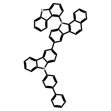 c1ccc(-c2ccc(-n3c4ccccc4c4cc(-c5ccc6c(c5)c5ccc7ccccc7c5n6-c5cccc6oc7ccccc7c56)ccc43)cc2)cc1